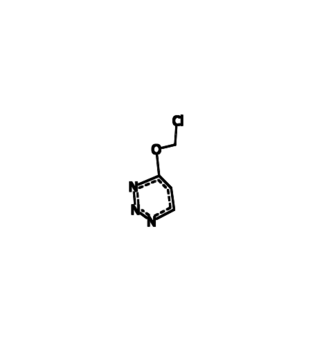 ClCOc1ccnnn1